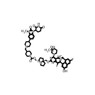 C#Cc1cc(F)cc2cc(O)cc(-c3ncc4c(N5CCC[C@@](C)(O)C5)nc(OC[C@@]56CCCN5[C@H](COC(=O)N5CCC(CN7CCC(c8ccc9c(c8)n(C)c(=O)n9C8CCC(=O)NC8=O)CC7)CC5)CC6)nc4c3F)c12